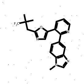 Cn1cnc2cc(-c3ncccc3-c3cnc(CC(C)(C)C(F)(F)F)o3)ccc21